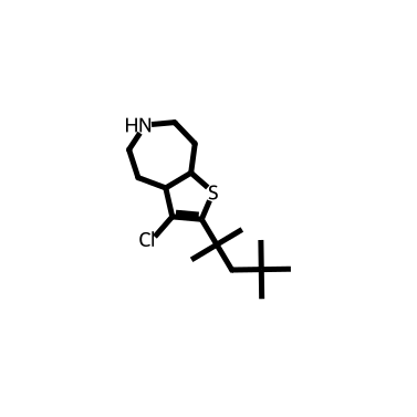 CC(C)(C)CC(C)(C)C1=C(Cl)C2CCNCCC2S1